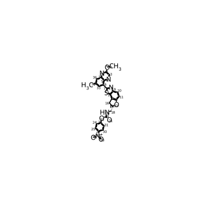 COc1cnc2c(-c3nc4ccc5c(c4s3)C[C@@H](CNC(=O)Oc3ccc([N+](=O)[O-])cc3)O5)cc(C)cc2n1